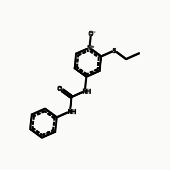 CCSc1cc(NC(=O)Nc2ccccc2)cc[n+]1[O-]